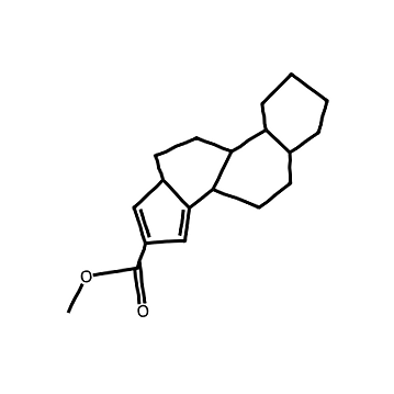 COC(=O)C1=CC2CCC3C(CCC4CCCCC43)C2=C1